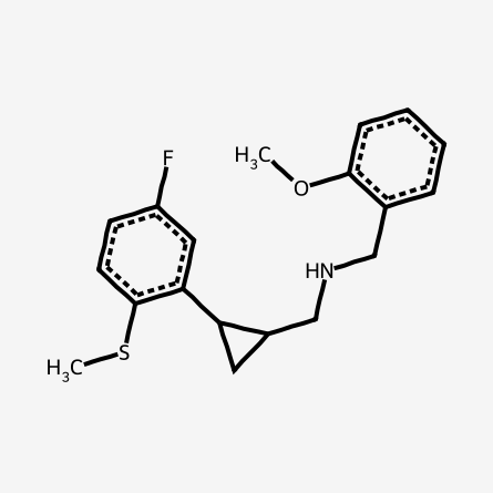 COc1ccccc1CNCC1CC1c1cc(F)ccc1SC